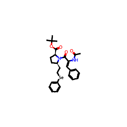 CC(=O)N/C(=C\c1ccccc1)C(=O)N1[C@@H](CC[Se]c2ccccc2)CC[C@H]1C(=O)OC(C)(C)C